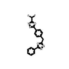 FC(F)c1nnc(-c2ccc(Cc3nnc(-c4ccccc4)o3)cc2)o1